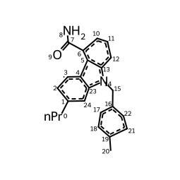 CCCc1c[c]c2c3c(C(N)=O)cccc3n(Cc3ccc(C)cc3)c2c1